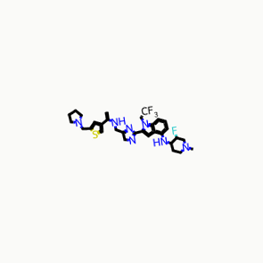 C=C(NCC1=NC(c2cc3c(NC4CCN(C)CC4F)cccc3n2CC(F)(F)F)=NC1)c1csc(CN2CCCC2)c1